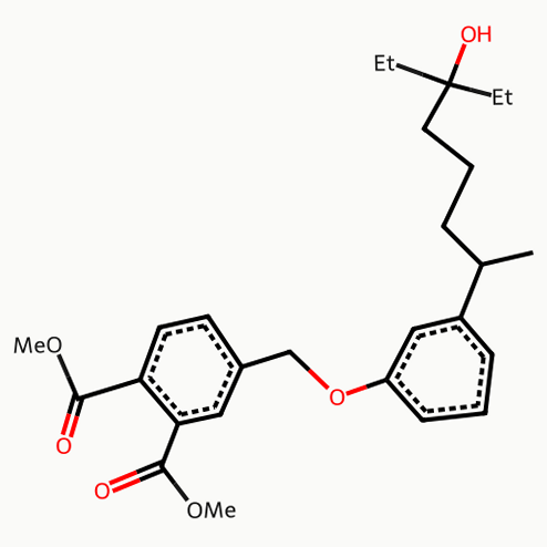 CCC(O)(CC)CCCC(C)c1cccc(OCc2ccc(C(=O)OC)c(C(=O)OC)c2)c1